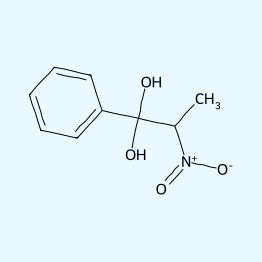 CC([N+](=O)[O-])C(O)(O)c1ccccc1